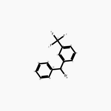 FC(F)(F)c1cccc(C(Br)c2ccccc2)c1